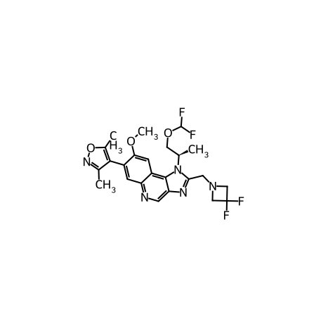 COc1cc2c(cc1-c1c(C)noc1C)ncc1nc(CN3CC(F)(F)C3)n([C@H](C)COC(F)F)c12